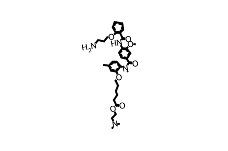 COc1cc(C(=O)N(C)c2ccc(C)cc2OCCCCCC(=O)OCCN(C)C)ccc1NC(=O)c1ccccc1OCCCN